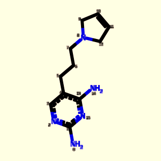 Nc1ncc(CCCN2CC=CC2)c(N)n1